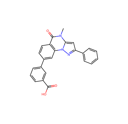 Cn1c(=O)c2ccc(-c3cccc(C(=O)O)c3)cc2n2nc(-c3ccccc3)cc12